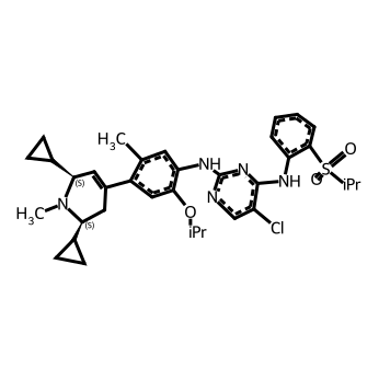 Cc1cc(Nc2ncc(Cl)c(Nc3ccccc3S(=O)(=O)C(C)C)n2)c(OC(C)C)cc1C1=C[C@H](C2CC2)N(C)[C@H](C2CC2)C1